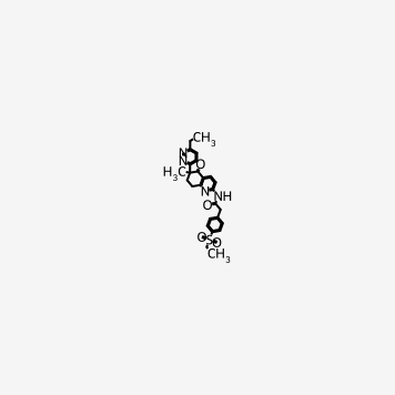 CCc1ccc(C2(C)CCc3nc(NC(=O)Cc4ccc(S(=O)(=O)CC)cc4)ccc3C2=O)nn1